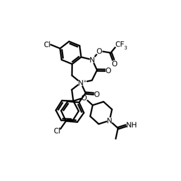 CC(=N)N1CCC(OC2(C[N+]3(C(=O)c4ccc(Cl)cc4)CC(=O)N(OC(=O)C(F)(F)F)c4ccc(Cl)cc4C3)C=CC=CC2)CC1